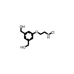 OCc1cc(CO)cc(OCCNCl)c1